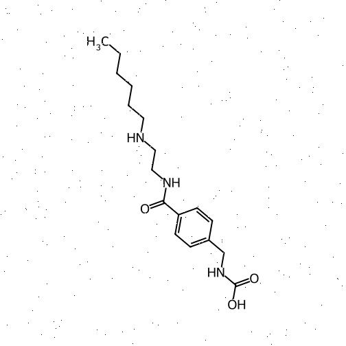 CCCCCCNCCNC(=O)c1ccc(CNC(=O)O)cc1